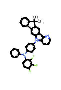 CC1(C)c2ccccc2-c2cc3c(cc21)c1ncccc1n3-c1ccc(N(c2ccccc2)c2ccc(F)c(F)c2F)cc1